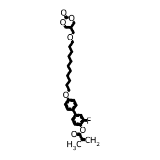 C=C(C)C(=O)Oc1ccc(-c2ccc(OCCCCCCCCCCCOCC3COC(=O)OC3)cc2)cc1F